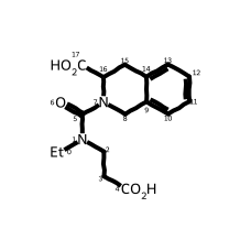 CCN(CCC(=O)O)C(=O)N1Cc2ccccc2CC1C(=O)O